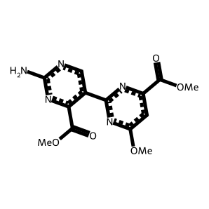 COC(=O)c1cc(OC)nc(-c2cnc(N)nc2C(=O)OC)n1